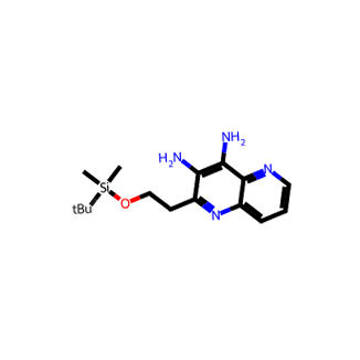 CC(C)(C)[Si](C)(C)OCCc1nc2cccnc2c(N)c1N